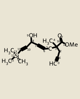 C#CCC(C)(CC#CC(O)C#C[Si](C)(C)C)C(=O)OC